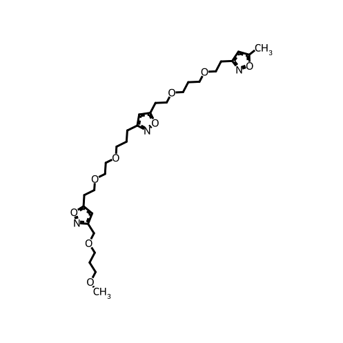 COCCCOCc1cc(CCOCCOCCCc2cc(CCOCCCOCCc3cc(C)on3)on2)on1